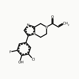 C=CC(=O)N1CCn2c(-c3cc(F)c(O)c(Cl)c3)cnc2C1